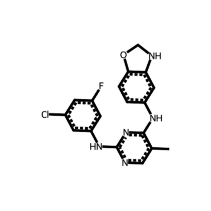 Cc1cnc(Nc2cc(F)cc(Cl)c2)nc1Nc1ccc2c(c1)NCO2